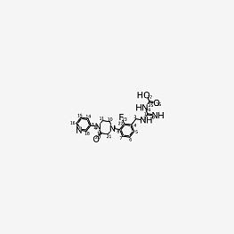 N=C(NCc1cccc(N2CCN(c3cccnc3)C(=O)C2)c1F)NC(=O)O